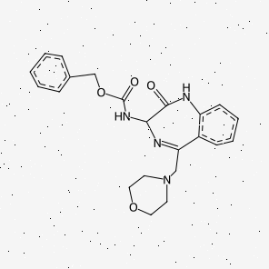 O=C(NC1N=C(CN2CCOCC2)c2ccccc2NC1=O)OCc1ccccc1